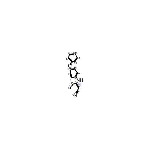 CS/C(=C\C#N)Nc1ccc(Oc2ccncc2)cc1